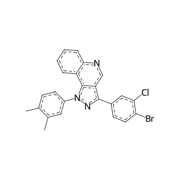 Cc1ccc(-n2nc(-c3ccc(Br)c(Cl)c3)c3cnc4ccccc4c32)cc1C